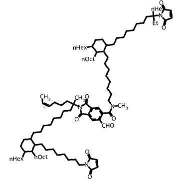 C/C=C\CCCC(C)(CCCCCCCCC1CCC(CCCCCC)C(CCCCCCCC)C1CCCCCCCCN1C(=O)C=CC1=O)N1C(=O)c2cc(C=O)c(C(=O)N(C)CCCCCCCCC3C(CCCCCCCCC(CC)(CCCCCC)N4C(=O)C=CC4=O)CCC(CCCCCC)C3CCCCCCCC)cc2C1=O